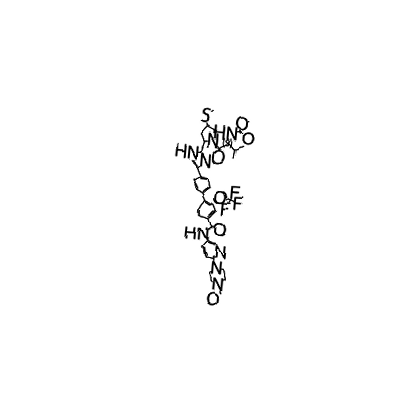 COC(=O)N[C@H](C(=O)N1CC(SC)CC1c1nc(-c2ccc(-c3ccc(C(=O)Nc4ccc(N5CCN(C=O)CC5)nc4)cc3OC(F)(F)F)cc2)c[nH]1)C(C)C